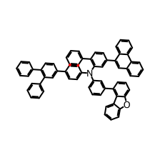 c1ccc(-c2ccc(-c3ccc(N(c4cccc(-c5cccc6oc7ccccc7c56)c4)c4cc(-c5cc6ccccc6c6ccccc56)ccc4-c4ccccc4)cc3)cc2-c2ccccc2)cc1